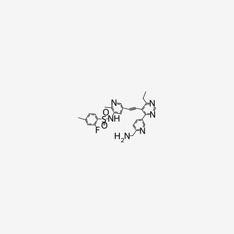 CCc1ncnc(-c2ccc(CN)nc2)c1C#Cc1cnc(C)c(NS(=O)(=O)c2ccc(C)cc2F)c1